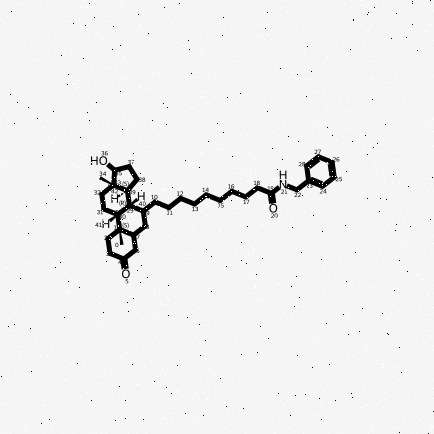 C[C@]12CCC(=O)CC1CC(CCCCCCCCCC(=O)NCc1ccccc1)[C@@H]1[C@H]2CC[C@]2(C)C(O)CC[C@@H]12